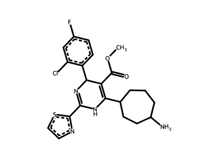 COC(=O)C1=C(C2CCCC(N)CC2)NC(c2nccs2)=NC1c1ccc(F)cc1Cl